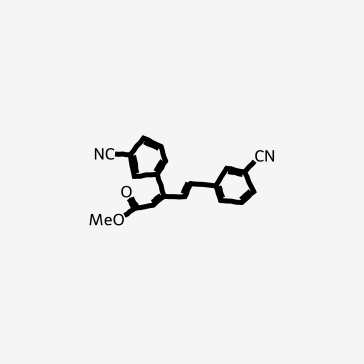 COC(=O)/C=C(/C=C/c1cccc(C#N)c1)c1cccc(C#N)c1